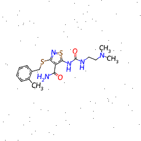 Cc1ccccc1CSc1nsc(NC(=O)NCCN(C)C)c1C(N)=O